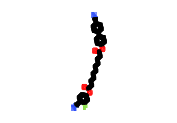 N#Cc1ccc(-c2ccc(OC(=O)CCCCCCCCCC(=O)Oc3ccc(C#N)c(F)c3)cc2)cc1